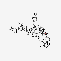 COc1ccc(CN(Cc2ccc(OC)cc2)S(=O)(=O)c2c(S(=O)(=O)NC[C@@H](CNC(=O)OC(C)(C)C)O[Si](C)(C)C(C)(C)C)ccc(N3CCC(c4ncc[nH]4)CC3)c2-c2nnn(Cc3ccc(OC)cc3)n2)cc1